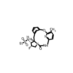 CCS(=O)(=O)N[C@H]1[C@@H](F)CN2C(=O)NCc3ccc(C)c(n3)Oc3cccc(c3F)C[C@@H]12